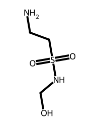 NCCS(=O)(=O)NCO